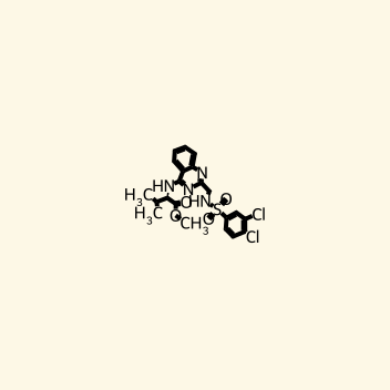 COC(=O)[C@@H](Nc1nc(CNS(=O)(=O)c2ccc(Cl)c(Cl)c2)nc2ccccc12)C(C)C